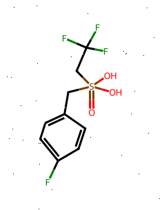 O=S(O)(O)(Cc1ccc(F)cc1)CC(F)(F)F